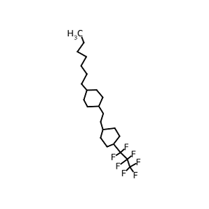 CCCCCCCC1CCC(CCC2CCC(C(F)(F)C(F)(F)C(F)(F)F)CC2)CC1